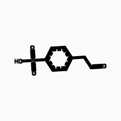 O=[C]Cc1ccc(S(=O)(=O)O)cc1